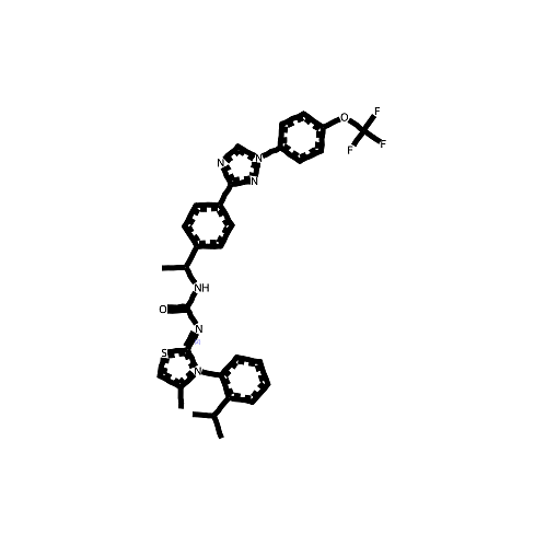 Cc1cs/c(=N\C(=O)NC(C)c2ccc(-c3ncn(-c4ccc(OC(F)(F)F)cc4)n3)cc2)n1-c1ccccc1C(C)C